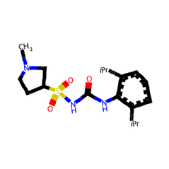 CC(C)c1cccc(C(C)C)c1NC(=O)NS(=O)(=O)C1CCN(C)C1